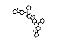 c1ccc(N(c2ccc3c(c2)oc2ccccc23)c2cc3oc4nc(N(c5ccccc5)c5ccc6c(c5)oc5ccccc56)ncc4c3cn2)cc1